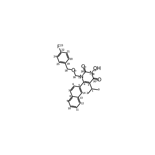 CC(C)c1c(-c2ccc3ccccc3c2)n(COCc2ccc(F)cc2)c(=O)n(O)c1=O